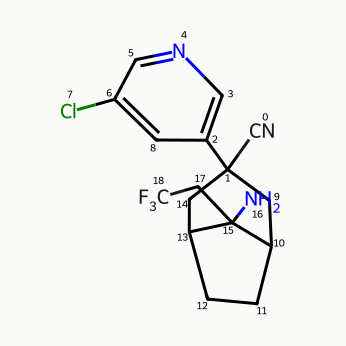 N#CC1(c2cncc(Cl)c2)CC2CCC(C1)C2(N)CC(F)(F)F